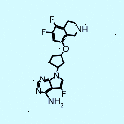 Nc1ncnc2c1c(F)cn2C1CCC(Oc2cc(F)c(F)c3c2CNCC3)C1